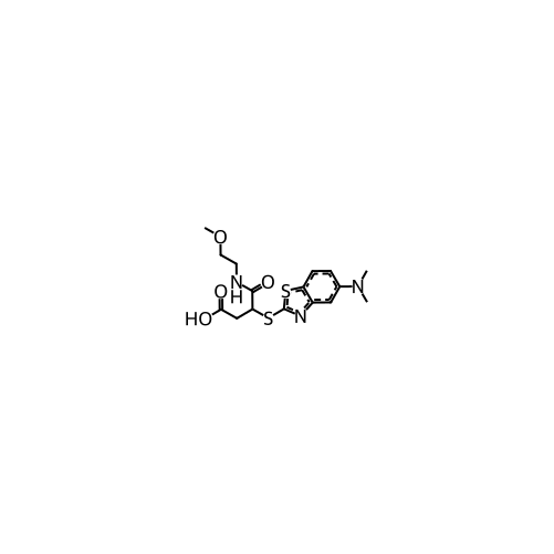 COCCNC(=O)C(CC(=O)O)Sc1nc2cc(N(C)C)ccc2s1